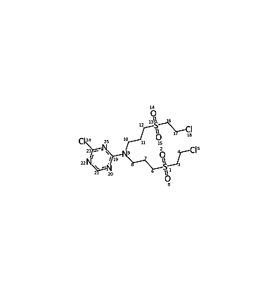 O=S(=O)(CCCl)CCCN(CCCS(=O)(=O)CCCl)c1n[c]nc(Cl)n1